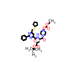 CCOC(=O)ON1CCN(C(=O)[C@H](CCC(=O)OC(C)(C)C)NC(=O)c2cc(CSC3CCCC3)nc(-c3ccccc3)n2)CC1